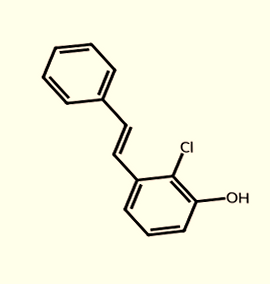 Oc1cccc(C=Cc2ccccc2)c1Cl